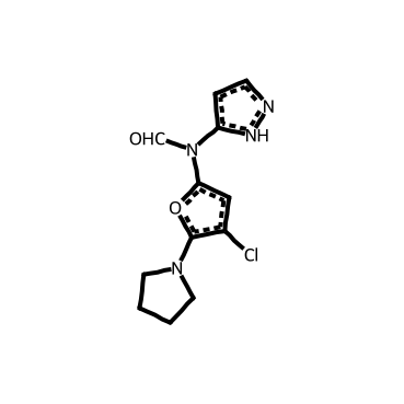 O=CN(c1ccn[nH]1)c1cc(Cl)c(N2CCCC2)o1